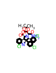 CC1(C)OC[C@H](C(C(N)=O)N2[C@@H](c3cccc(Cl)c3)[C@](C#N)(c3ccc(Cl)cc3)[C@@H](c3cccc(Cl)c3)[C@@H]2C(=O)O)O1